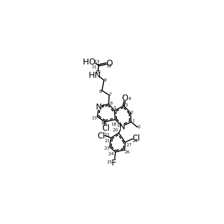 Cc1cc(=O)c2c(CCCNC(=O)O)ncc(Cl)c2n1-c1c(Cl)cc(F)cc1Cl